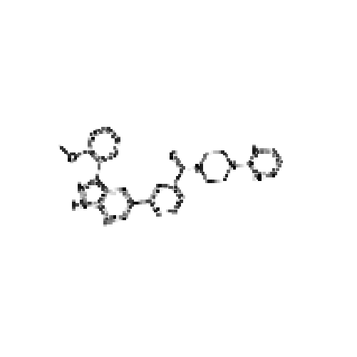 COc1ccccc1-c1n[nH]c2ncc(-c3cccc(C(=O)N4CCN(c5ncccn5)CC4)c3)cc12